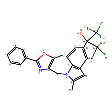 Cc1oc(-c2ccccc2)nc1Cn1c(C)cc2cc(C(O)(C(F)(F)F)C(F)(F)F)ccc21